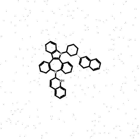 C1=CC2=CC([C@H]3CCCC(n4c5c(c6c4C4=C(CCC=C4)N(C4C=Cc7ccccc7N4)C4=C6C=CCC4)CCC=C5)C3)=CCC2C=C1